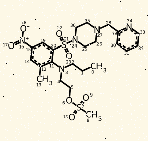 CCCN(CCOS(C)(=O)=O)c1c(C)cc([N+](=O)[O-])cc1S(=O)(=O)N1CCN(Cc2ccccn2)CC1